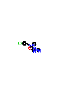 O=C(NCCc1ccc(Cl)cc1)C(c1ccnc(-n2ccnc2)n1)N1CCCCC1